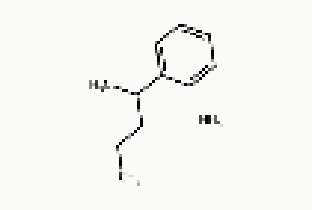 CCCC(C)c1ccccc1.N